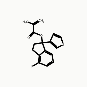 C=C(C)C(=O)OC1(c2ccsc2)CCc2c(F)cccc21